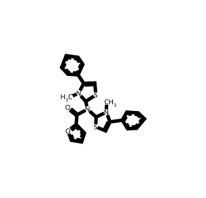 CN1C(c2ccccc2)=CSC1N(C(=O)c1ccco1)C1SC=C(c2ccccc2)N1C